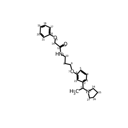 CC(c1cccc(OCCCNC(=O)COc2ccccc2)c1)N1CCCC1